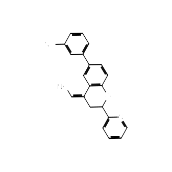 N#C/C=C1/CC(c2ccccn2)Oc2ccc(-c3cccc(C#N)c3)cc21